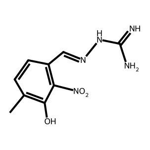 Cc1ccc(C=NNC(=N)N)c([N+](=O)[O-])c1O